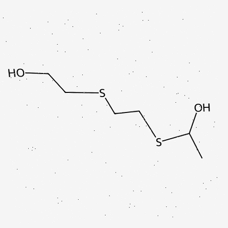 CC(O)SCCSCCO